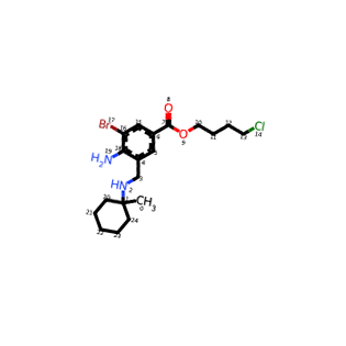 CC1(NCc2cc(C(=O)OCCCCCl)cc(Br)c2N)CCCCC1